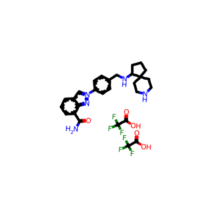 NC(=O)c1cccc2cn(-c3ccc(CNC4CCCC45CCNCC5)cc3)nc12.O=C(O)C(F)(F)F.O=C(O)C(F)(F)F